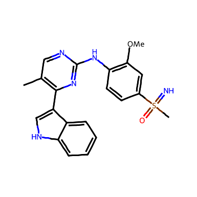 COc1cc(S(C)(=N)=O)ccc1Nc1ncc(C)c(-c2c[nH]c3ccccc23)n1